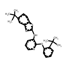 CC(C)(C)c1ccc2sc(Nc3cccnc3Oc3ccccc3C(C)(C)C)nc2c1